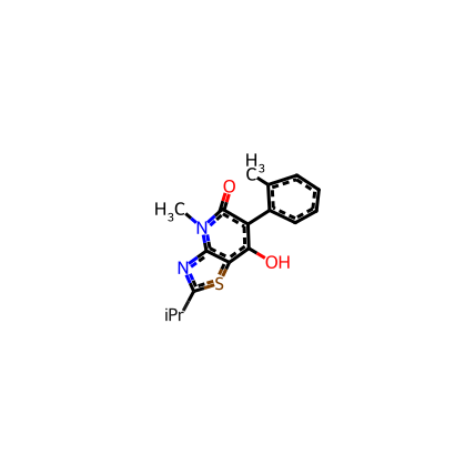 Cc1ccccc1-c1c(O)c2sc(C(C)C)nc2n(C)c1=O